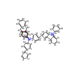 c1ccc(-c2ccc(N(c3ccc(-c4ccc5c(c4)c4ccccc4n5-c4ccccc4)cc3)c3ccc4c(c3)C3c5ccccc5C4c4ccccc43)cc2)cc1